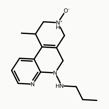 CCCNN1CC2=C(c3cccnc31)C(C)C[NH+]([O-])C2